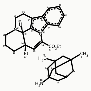 CC12CC3CC(C)(C1)CC(N)(C3)C2.CCOC(=O)C1=C[C@]2(CC)CCCN3CCc4c(n1c1ccccc41)[C@@H]32